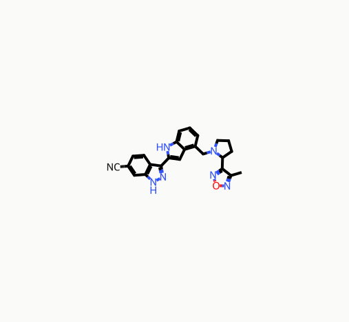 Cc1nonc1C1CCCN1Cc1cccc2[nH]c(-c3n[nH]c4cc(C#N)ccc34)cc12